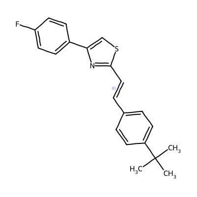 CC(C)(C)c1ccc(/C=C/c2nc(-c3ccc(F)cc3)cs2)cc1